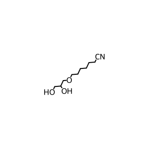 N#CCCCCCCOCC(O)CO